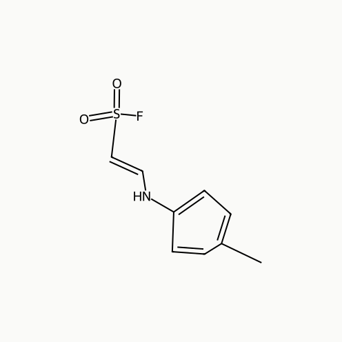 Cc1ccc(N/C=C/S(=O)(=O)F)cc1